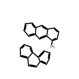 Cc1cccc2cc3ccccc3cc12.c1ccc2c(c1)ccc1ccccc12